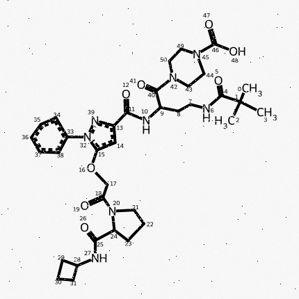 CC(C)(C)C(=O)NCCC(NC(=O)c1cc(OCC(=O)N2CCCC2C(=O)NC2CCC2)n(-c2ccccc2)n1)C(=O)N1CCN(C(=O)O)CC1